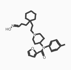 Cc1ccc(N(C(=O)c2ccco2)C2CCN(CCC3(CC[C]=NO)CCCCC3)CC2)cc1